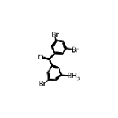 Bc1cc(Br)cc(C(=O)c2cc(Br)cc(Br)c2)c1